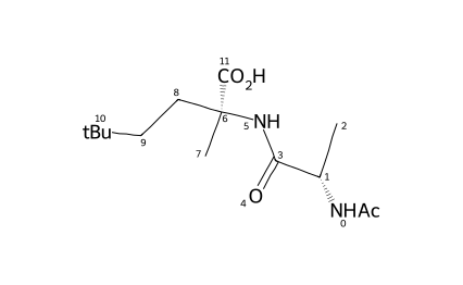 CC(=O)N[C@@H](C)C(=O)N[C@@](C)(CCC(C)(C)C)C(=O)O